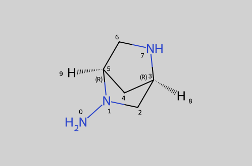 NN1C[C@H]2C[C@@H]1CN2